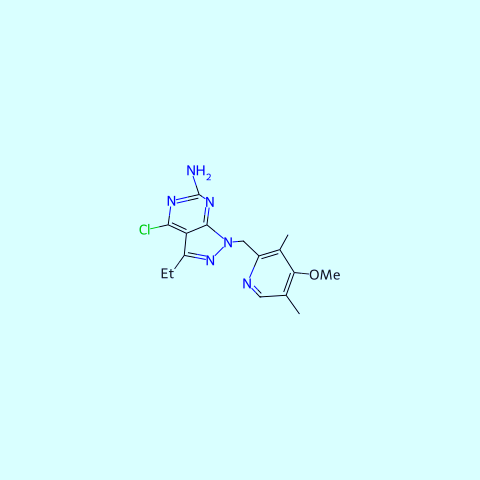 CCc1nn(Cc2ncc(C)c(OC)c2C)c2nc(N)nc(Cl)c12